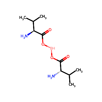 CC(C)[C@H](N)C(=O)OBOC(=O)[C@@H](N)C(C)C